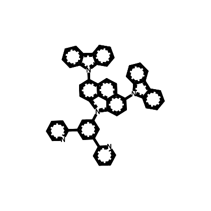 c1ccc(-c2cc(-c3ccccn3)cc(-n3c4ccc(-n5c6ccccc6c6ccccc65)c5ccc6c(-n7c8ccccc8c8ccccc87)ccc3c6c54)c2)nc1